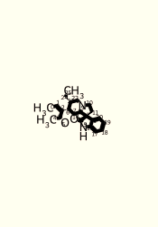 CC=C(C(C)=O)[C@H]1CC2N(CC[C@@]23C(=O)Nc2ccccc23)C[C@H]1CC